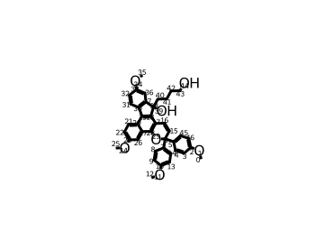 COc1ccc(C2(c3ccc(OC)cc3)C=Cc3c4c(c5ccc(OC)cc5c3O2)-c2ccc(OC)cc2C4(O)CCCCO)cc1